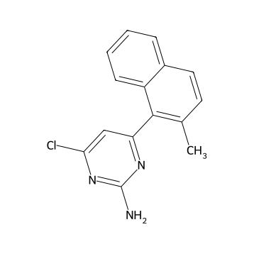 Cc1ccc2ccccc2c1-c1cc(Cl)nc(N)n1